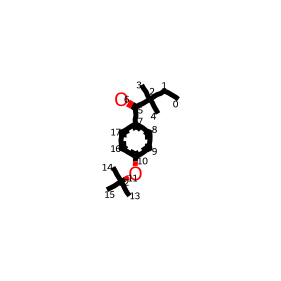 CCC(C)(C)C(=O)c1ccc(OC(C)(C)C)cc1